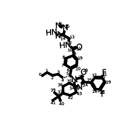 CCCCC[C@H](c1ccc(C(=O)NCc2nn[nH]n2)cc1)N1C(=O)C(c2cc(F)cc(F)c2)=NC12CCC(C(C)(C)C)CC2